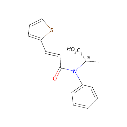 C[C@@H](C(=O)O)N(C(=O)C=Cc1cccs1)c1ccccc1